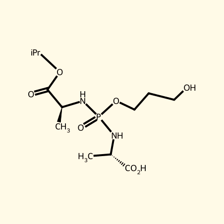 CC(C)OC(=O)[C@H](C)NP(=O)(N[C@@H](C)C(=O)O)OCCCO